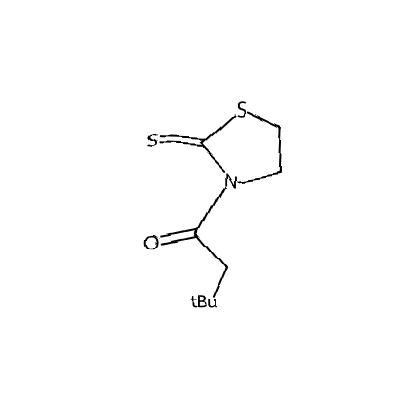 CC(C)(C)CC(=O)N1CCSC1=S